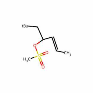 CC=CC(CC(C)(C)C)OS(C)(=O)=O